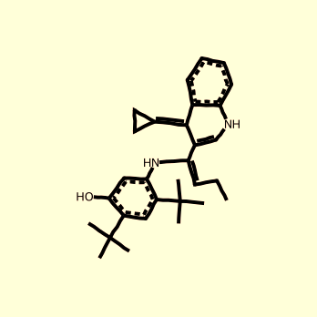 CC/C=C(/Nc1cc(O)c(C(C)(C)C)cc1C(C)(C)C)C1=CNc2ccccc2C1=C1CC1